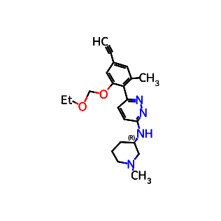 C#Cc1cc(C)c(-c2ccc(N[C@@H]3CCCN(C)C3)nn2)c(OCOCC)c1